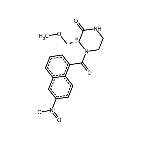 COC[C@@H]1C(=O)NCCN1C(=O)c1cccc2cc([N+](=O)[O-])ccc12